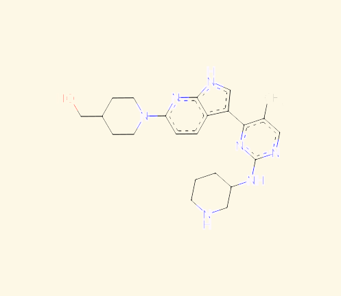 OCC1CCN(c2ccc3c(-c4nc(NC5CCCNC5)ncc4C(F)(F)F)c[nH]c3n2)CC1